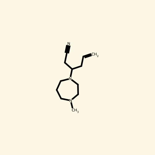 C=CCC(CC#N)N1CCCN(C)CC1